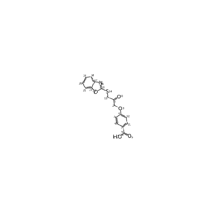 O=C(COc1ccc(C(=O)O)cc1)CSc1nc2ccccc2o1